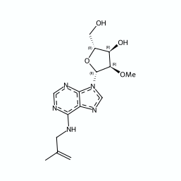 C=C(C)CNc1ncnc2c1ncn2[C@@H]1O[C@H](CO)[C@@H](O)[C@H]1OC